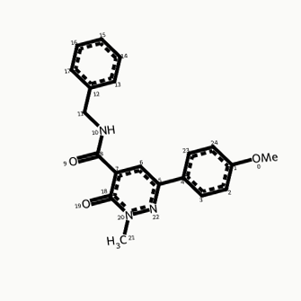 COc1ccc(-c2cc(C(=O)NCc3ccccc3)c(=O)n(C)n2)cc1